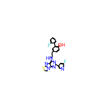 Oc1ccc(CCNc2nc(-c3cncc(F)c3)nc3c2nc2n3CCS2)cc1-c1ccccc1F